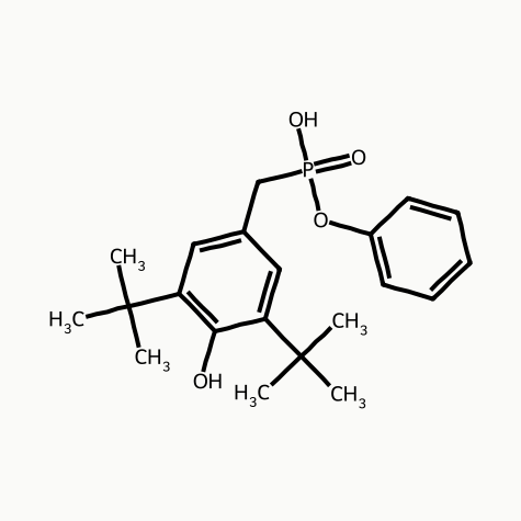 CC(C)(C)c1cc(CP(=O)(O)Oc2ccccc2)cc(C(C)(C)C)c1O